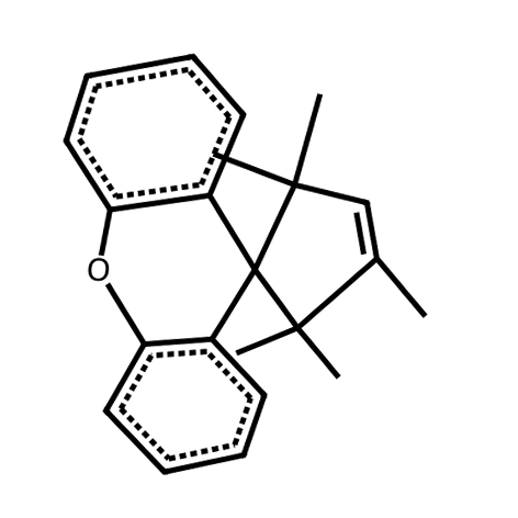 CC1=CC(C)(C)C2(c3ccccc3Oc3ccccc32)C1(C)C